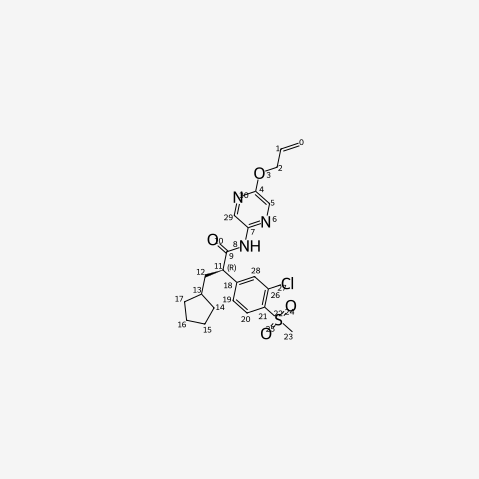 C=CCOc1cnc(NC(=O)[C@H](CC2CCCC2)c2ccc(S(C)(=O)=O)c(Cl)c2)cn1